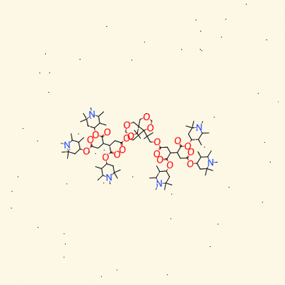 CC1C(OC(=O)CC(C(=O)OC2CC(C)(C)N(C)C(C)C2C)C(CC(=O)OCC(C)(C)C2(C(C)(C)COC(=O)CC(C(=O)OC3CC(C)(C)N(C)C(C)C3C)C(CC(=O)OC3CC(C)(C)N(C)C(C)C3C)C(=O)OC3CC(C)(C)N(C)C(C)C3C)OCOCC23COCOC3)C(=O)OC2CC(C)(C)N(C)C(C)C2C)CC(C)(C)N(C)C1C